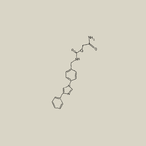 NC(=O)COC(=O)NCc1ccc(-n2cnc(-c3ccccc3)c2)cc1